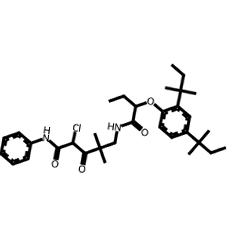 CCC(Oc1ccc(C(C)(C)CC)cc1C(C)(C)CC)C(=O)NCC(C)(C)C(=O)C(Cl)C(=O)Nc1ccccc1